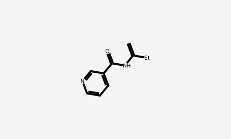 C=C(CC)NC(=O)c1cccnc1